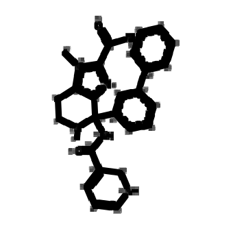 CN1CCc2c(nc(C(N)=O)n2C)C1(NC(=O)C1=CC=CNC1)c1cccc(-c2ccccc2)c1